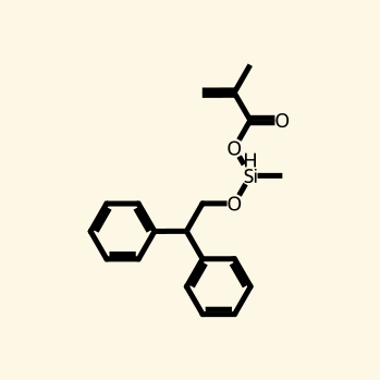 C=C(C)C(=O)O[SiH](C)OCC(c1ccccc1)c1ccccc1